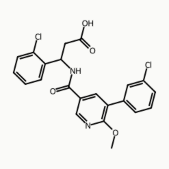 COc1ncc(C(=O)NC(CC(=O)O)c2ccccc2Cl)cc1-c1cccc(Cl)c1